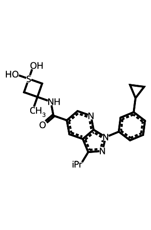 CC(C)c1nn(-c2cccc(C3CC3)c2)c2ncc(C(=O)NC3(C)CS(O)(O)C3)cc12